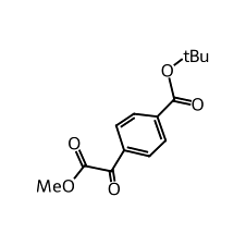 COC(=O)C(=O)c1ccc(C(=O)OC(C)(C)C)cc1